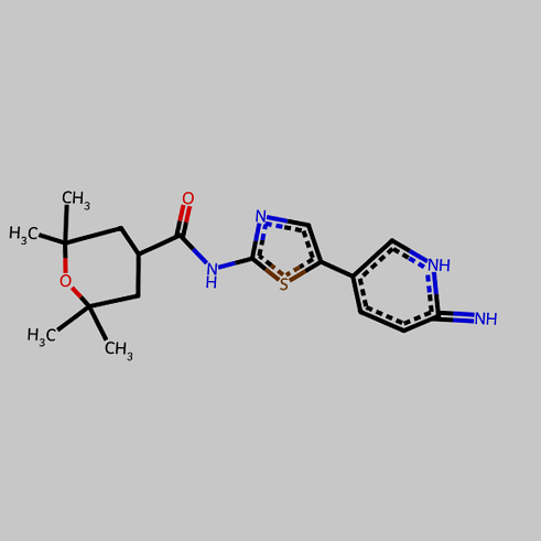 CC1(C)CC(C(=O)Nc2ncc(-c3ccc(=N)[nH]c3)s2)CC(C)(C)O1